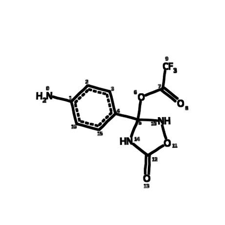 Nc1ccc(C2(OC(=O)C(F)(F)F)NOC(=O)N2)cc1